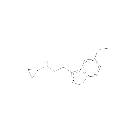 COc1ccc2scc(CCNC3CC3)c2c1